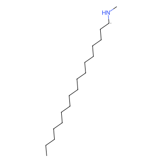 CCCCCCCCCCCCCCCC[CH]NC